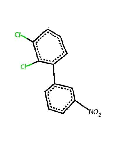 O=[N+]([O-])c1cccc(-c2cc[c]c(Cl)c2Cl)c1